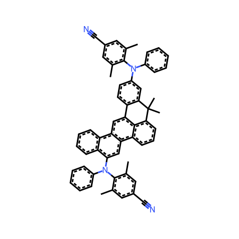 Cc1cc(C#N)cc(C)c1N(c1ccccc1)c1ccc2c(c1)C(C)(C)c1cccc3c1c-2cc1c2ccccc2c(N(c2ccccc2)c2c(C)cc(C#N)cc2C)cc31